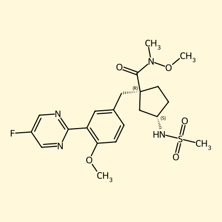 COc1ccc(C[C@]2(C(=O)N(C)OC)CC[C@H](NS(C)(=O)=O)C2)cc1-c1ncc(F)cn1